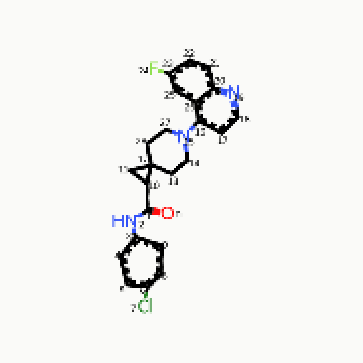 O=C(Nc1ccc(Cl)cc1)C1CC12CCN(c1ccnc3ccc(F)cc13)CC2